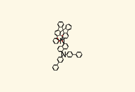 c1ccc(-c2ccc(N(c3ccc(-c4ccccc4)cc3)c3cccc4c(N(c5ccccc5)c5ccc6c(c5)C5(c7ccccc7-6)c6ccccc6-c6ccc7ccccc7c65)cccc34)cc2)cc1